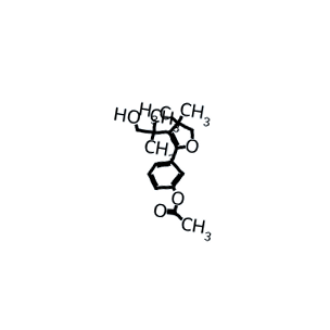 CC(=O)Oc1cccc(C2=C(C(C)(C)CO)C(C)(C)CO2)c1